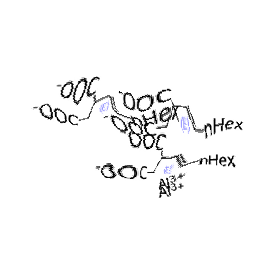 CCCCCC/C=C/C(CC(=O)[O-])C(=O)[O-].CCCCCC/C=C/C(CC(=O)[O-])C(=O)[O-].CCCCCC/C=C/C(CC(=O)[O-])C(=O)[O-].[Al+3].[Al+3]